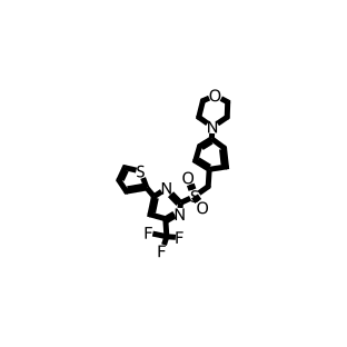 O=S(=O)(Cc1ccc(N2CCOCC2)cc1)c1nc(-c2cccs2)cc(C(F)(F)F)n1